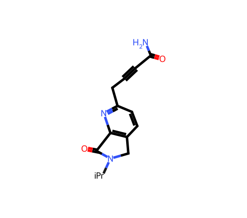 CC(C)N1Cc2ccc(CC#CC(N)=O)nc2C1=O